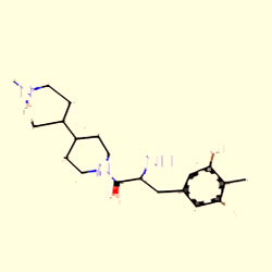 Cc1c(Br)cc(CC(N)C(=O)N2CCC(C3CCN(C)CC3)CC2)cc1Br